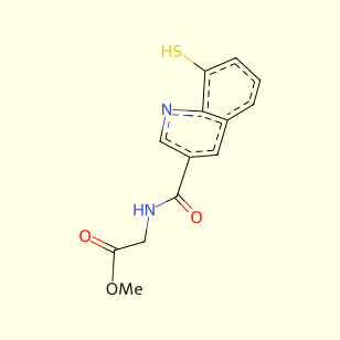 COC(=O)CNC(=O)c1cnc2c(S)cccc2c1